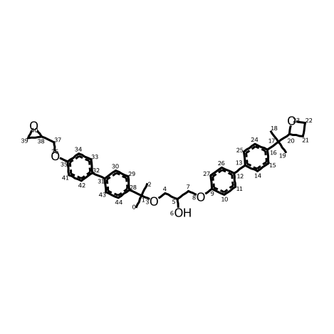 CC(C)(OCC(O)COc1ccc(-c2ccc(C(C)(C)C3CCO3)cc2)cc1)c1ccc(-c2ccc(OCC3CO3)cc2)cc1